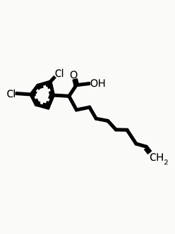 C=CCCCCCCCC(C(=O)O)c1ccc(Cl)cc1Cl